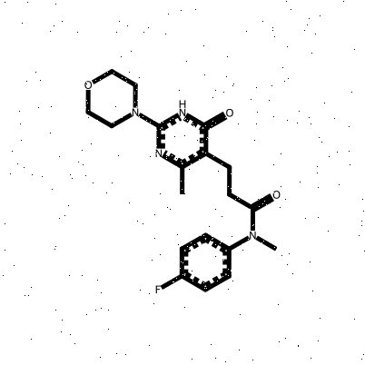 Cc1nc(N2CCOCC2)[nH]c(=O)c1CCC(=O)N(C)c1ccc(F)cc1